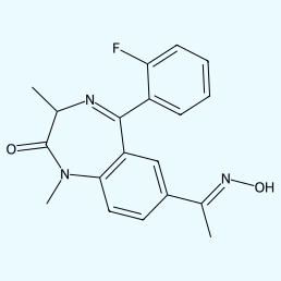 CC(=NO)c1ccc2c(c1)C(c1ccccc1F)=NC(C)C(=O)N2C